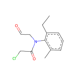 CCc1cccc(C)c1N(CC=O)C(=O)CCl